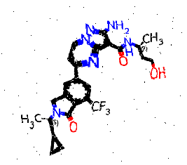 C[C@H](CCO)NC(=O)c1c(N)nn2ccc(-c3cc4c(c(C(F)(F)F)c3)C(=O)N([C@@H](C)C3CC3)C4)nc12